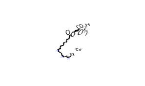 CC/C=C\C/C=C\C/C=C\CCCCCCCC(=O)OC=C(C)C(=O)O.[Cu]